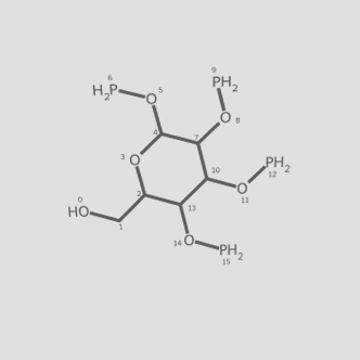 OCC1OC(OP)C(OP)C(OP)C1OP